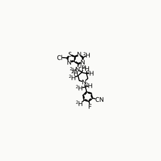 [2H]c1nc(N([2H])C2([2H])C([2H])([2H])CN(C([2H])([2H])c3cc([2H])c(F)c(C#N)c3)CC2([2H])[2H])c2nc(Cl)sc2n1